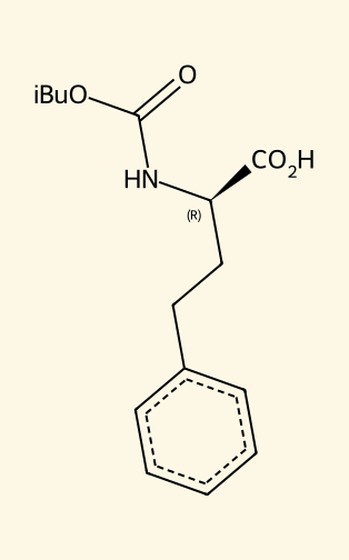 CC(C)COC(=O)N[C@H](CCc1ccccc1)C(=O)O